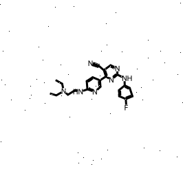 CCN(CC)CCNc1ccc(-c2nc(Nc3ccc(F)cc3)ncc2C#N)cn1